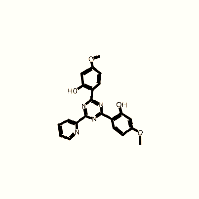 COc1ccc(-c2nc(-c3ccccn3)nc(-c3ccc(OC)cc3O)n2)c(O)c1